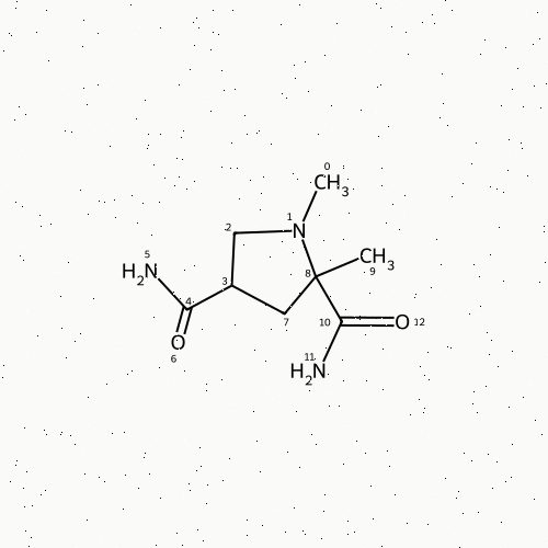 CN1CC(C(N)=O)CC1(C)C(N)=O